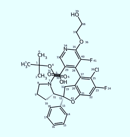 CC(C)(C)OC(=O)N1CCC[C@H]1[C@@]1(c2ccccc2)Cc2c(cc(F)c(Cl)c2-c2c(C(=O)O)cnc(OCCO)c2F)O1